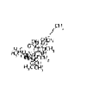 CCCCCCCC1(O)OC[C@H](C(OC)[C@@H]2OC(C(=O)O)=C[C@H](NC(=NC(=O)OC(C)(C)C)NC(=O)OC(C)(C)C)[C@H]2NC(C)=O)O1